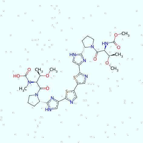 COC(=O)N[C@H](C(=O)N1CCC[C@H]1c1nc(-c2ncc(-c3cnc(-c4c[nH]c([C@@H]5CCCN5C(=O)[C@H]([C@@H](C)OC)N(C)C(=O)O)n4)s3)s2)c[nH]1)[C@@H](C)OC